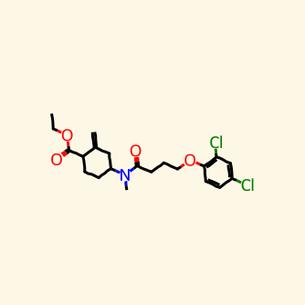 C=C1CC(N(C)C(=O)CCCOc2ccc(Cl)cc2Cl)CCC1C(=O)OCC